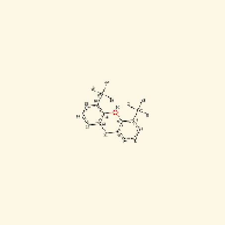 CC(C)(C)c1cccc2c1Oc1c(cccc1C(C)(C)C)C2